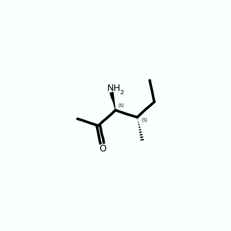 CC[C@H](C)[C@H](N)C(C)=O